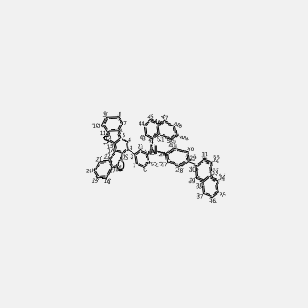 c1cc(-c2cc3c4ccccc4sc3c3c2oc2ccccc23)cc(N(c2ccc(-c3ccc4ccccc4c3)cc2)c2cccc3ccccc23)c1